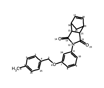 Cc1ccc(COc2cccc(N3C(=O)C4C5C=CC(C5)C4C3=O)c2)cc1